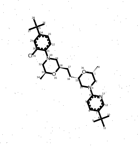 C[C@@H]1CN(c2ccc(C(C)(C)C)cn2)C[C@H](CC[C@@H]2CN(c3ccc(C(C)(C)C)cc3Cl)C[C@H](C)O2)O1